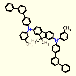 Cc1cccc(N(c2ccc(-c3cccc(-c4ccccc4)c3)cc2)c2ccc3c(c2)C(C)(C)c2cc(N(c4ccc(-c5cccc(-c6ccccc6)c5)cc4)c4cccc(C)c4)ccc2-3)c1